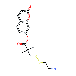 CC(C)(CSSCCN)C(=O)Oc1ccc2ccc(=O)oc2c1